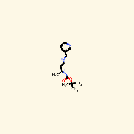 C[C@@H](CCNCc1cccnc1)NC(=O)OC(C)(C)C